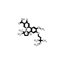 COc1cc2c(cc1OCCC(C)(C)OC)[C@H]1CCC(C)(C)N1n1cc(C(=O)O)c(=O)cc1-2